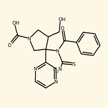 NC(=S)N(C(=O)c1ccccc1)C1(c2cnccn2)CN(C(=O)O)CC1CO